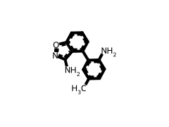 Cc1ccc(N)c(-c2cccc3onc(N)c23)c1